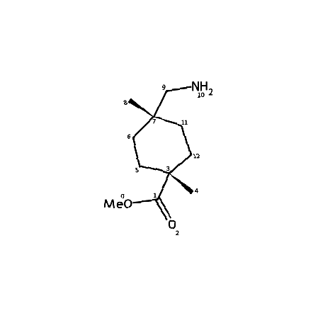 COC(=O)[C@]1(C)CC[C@](C)(CN)CC1